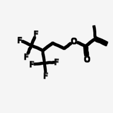 C=C(C)C(=O)OCCC(C(F)(F)F)C(F)(F)F